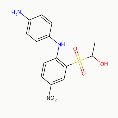 CC(O)S(=O)(=O)c1cc([N+](=O)[O-])ccc1Nc1ccc(N)cc1